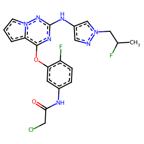 CC(F)Cn1cc(Nc2nc(Oc3cc(NC(=O)CCl)ccc3F)c3cccn3n2)cn1